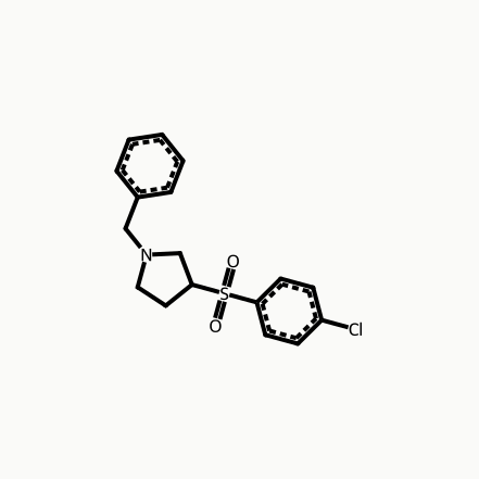 O=S(=O)(c1ccc(Cl)cc1)C1CCN(Cc2ccccc2)C1